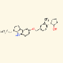 O=C(O)C[C@@H]1CCc2c1[nH]c1ccc(OCc3ccc([C@@H]4CCC[C@H]4O)c(C(F)(F)F)c3)cc21